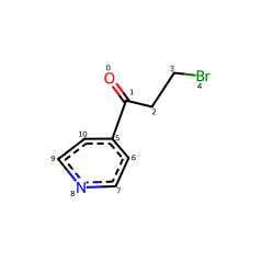 O=C(CCBr)c1ccncc1